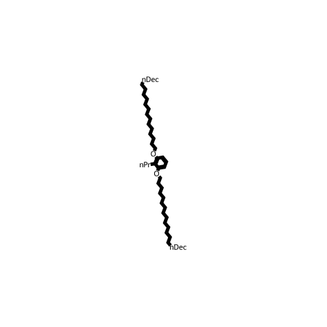 [CH2]CCc1c(OCCCCCCCCCCCCCCCCCCCCCCCC)cccc1OCCCCCCCCCCCCCCCCCCCCCCCC